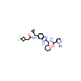 CC(C)n1nccc1C(=O)N[C@@H](c1nc2ccc([C@H](NC(=O)CC3CC(F)(F)C3)C3CC3)cc2[nH]1)C1CCCCO1